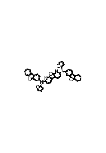 c1coc(N(c2ccc3c(c2)oc2ccccc23)c2ccc3c(n2)oc2nc(N(c4ccc5c(c4)oc4ccccc45)c4ccco4)ccc23)c1